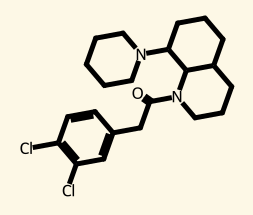 O=C(Cc1ccc(Cl)c(Cl)c1)N1CCCC2CCCC(N3CCCCC3)C21